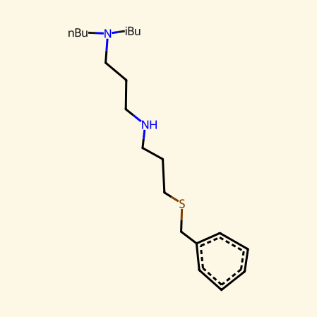 CCCCN(CCCNCCCSCc1ccccc1)C(C)CC